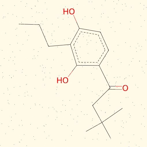 CCCc1c(O)ccc(C(=O)CC(C)(C)C)c1O